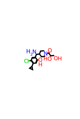 NC(c1cc(Cl)c(C2CC2)cc1O)C1CCN(C(=O)C(O)CO)CC1